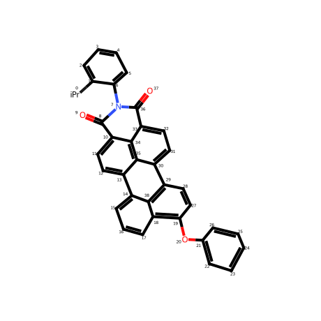 CC(C)c1ccccc1N1C(=O)c2ccc3c4cccc5c(Oc6ccccc6)ccc(c6ccc(c2c36)C1=O)c54